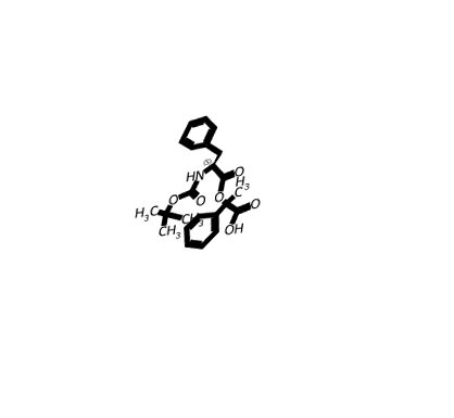 CC(C)(C)OC(=O)N[C@@H](Cc1ccccc1)C(=O)OC(C)(C(=O)O)c1ccccc1